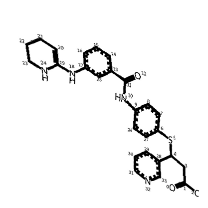 O=C(O)CC(Sc1ccc(NC(=O)c2cccc(NC3=CCCCN3)c2)cc1)c1cccnc1